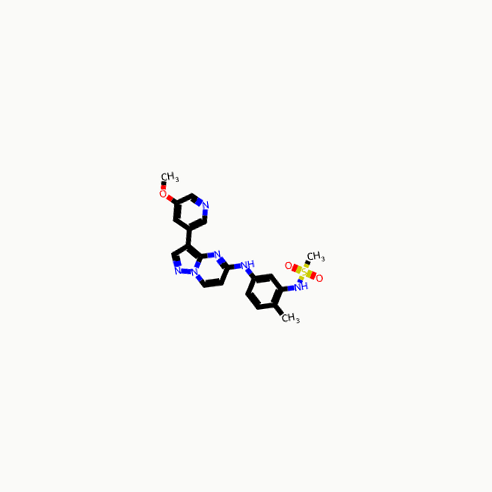 COc1cncc(-c2cnn3ccc(Nc4ccc(C)c(NS(C)(=O)=O)c4)nc23)c1